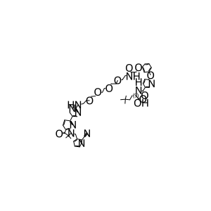 CC(C)(C)CC[C@H](NC(=O)c1ccc(Oc2cccc(OCC(=O)NCCOCCOCCOCCOCCNc3ncc(-c4ccc5c(n4)N(Cc4cccnc4C#N)C(C)(C)C5=O)cn3)c2)nc1)C(=O)O